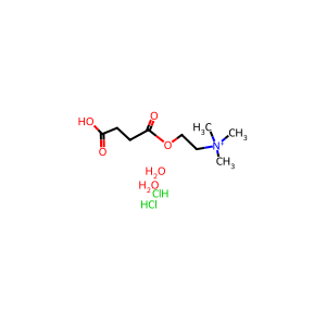 C[N+](C)(C)CCOC(=O)CCC(=O)O.Cl.Cl.O.O